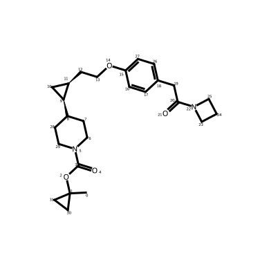 CC1(OC(=O)N2CCC([C@H]3C[C@H]3CCOc3ccc(CC(=O)N4CCC4)cc3)CC2)CC1